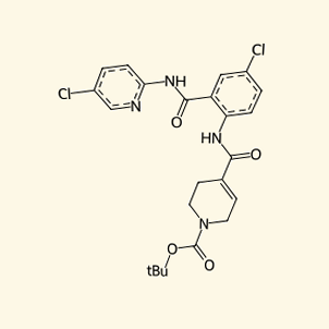 CC(C)(C)OC(=O)N1CC=C(C(=O)Nc2ccc(Cl)cc2C(=O)Nc2ccc(Cl)cn2)CC1